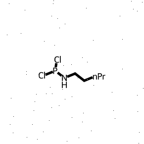 CCCCCNP(Cl)Cl